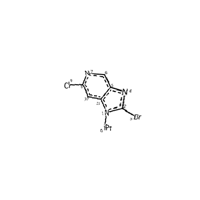 CC(C)n1c(Br)nc2cnc(Cl)cc21